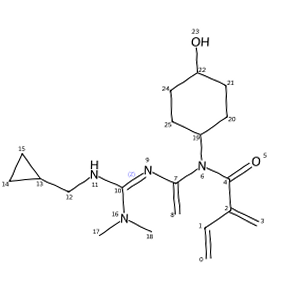 C=CC(=C)C(=O)N(C(=C)/N=C(/NCC1CC1)N(C)C)C1CCC(O)CC1